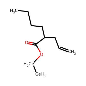 C=CCC(CCCC)C(=O)[O][GeH2][GeH3]